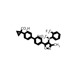 CCOC(=O)N(c1ccccc1C(F)(F)F)c1c(C)noc1-c1ccc(-c2ccc(C3(C(=O)O)CC3)cc2)cc1